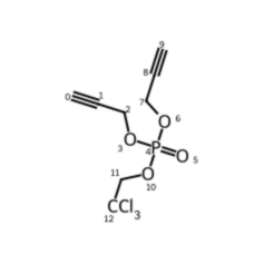 C#CCOP(=O)(OCC#C)OCC(Cl)(Cl)Cl